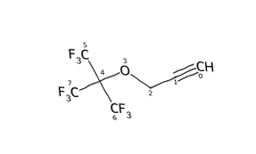 C#CCOC(C(F)(F)F)(C(F)(F)F)C(F)(F)F